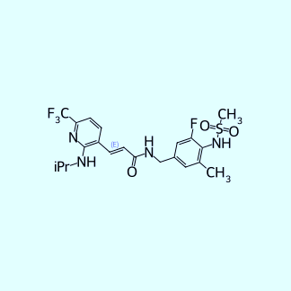 Cc1cc(CNC(=O)/C=C/c2ccc(C(F)(F)F)nc2NC(C)C)cc(F)c1NS(C)(=O)=O